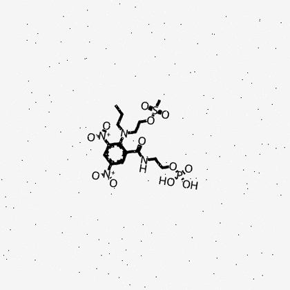 CCCN(CCOS(C)(=O)=O)c1c(C(=O)NCCOP(=O)(O)O)cc([N+](=O)[O-])cc1[N+](=O)[O-]